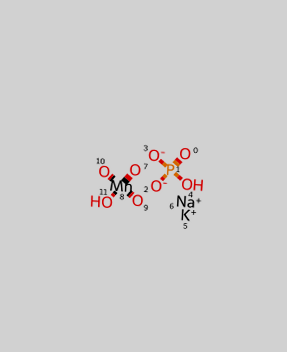 O=P([O-])([O-])O.[K+].[Na+].[O]=[Mn](=[O])(=[O])[OH]